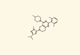 Cc1cccc(C)c1-c1nc2c(c(N3CCC(C)CC3)n1)CN(c1cc(C(C)C)nn1C)CC2